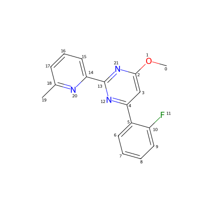 COc1cc(-c2ccccc2F)nc(-c2cccc(C)n2)n1